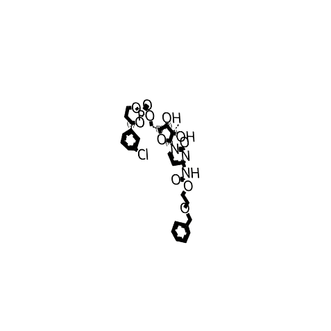 C[C@@]1(O)[C@H](O)[C@@H](COP2(=O)OCC[C@@H](c3cccc(Cl)c3)O2)O[C@H]1n1ccc(NC(=O)OCCOCc2ccccc2)nc1=O